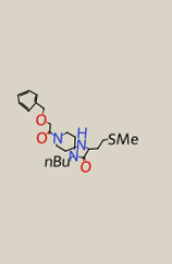 CCCCN1C(=O)C(CCSC)NC12CCN(C(=O)COCc1ccccc1)CC2